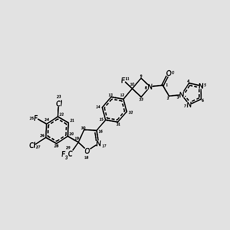 O=C(Cn1cncn1)N1CC(F)(c2ccc(C3=NOC(c4cc(Cl)c(F)c(Cl)c4)(C(F)(F)F)C3)cc2)C1